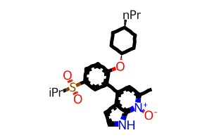 CCC[C@H]1CC[C@H](Oc2ccc(S(=O)(=O)C(C)C)cc2-c2cc(C)[n+]([O-])c3[nH]ccc23)CC1